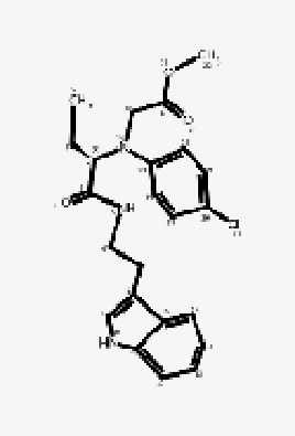 CC[C@H](C(=O)NCCc1c[nH]c2ccccc12)N(CC(=O)OC)c1ccc(Cl)cc1